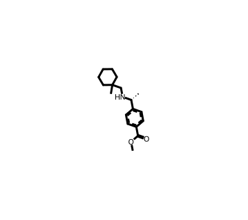 COC(=O)c1ccc([C@@H](C)NCC2(C)CCCCC2)cc1